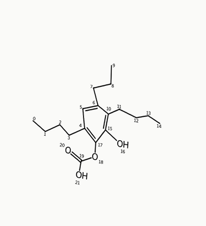 CCCCc1cc(CCC)c(CCCC)c(O)c1OC(=O)O